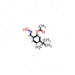 CC(=O)Oc1cc(C(C)(C)C)ccc1C=NO